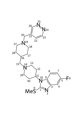 CSc1nc2cc(F)ccc2n1C1CCN(CC2CCN(Cc3ccnnc3)CC2)CC1